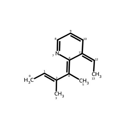 CC=C(C)/C(C)=c1\nccc\c1=C\C